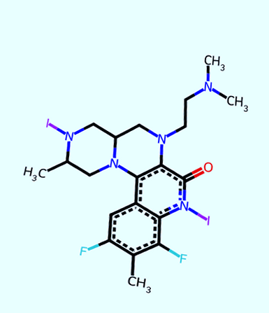 Cc1c(F)cc2c3c(c(=O)n(I)c2c1F)N(CCN(C)C)CC1CN(I)C(C)CN31